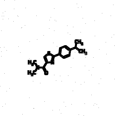 CC(C)c1ccc(-c2nc(C(=O)N(C)C)cs2)cc1